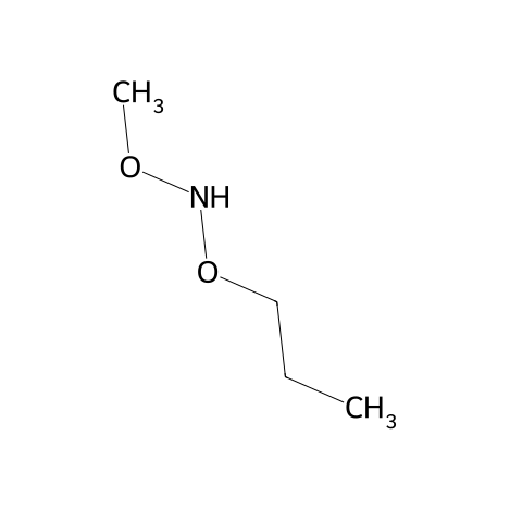 CCCONOC